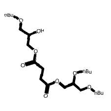 CCCCOCC(O)COC(=O)CCC(=O)OCC(COCCCC)OCCCC